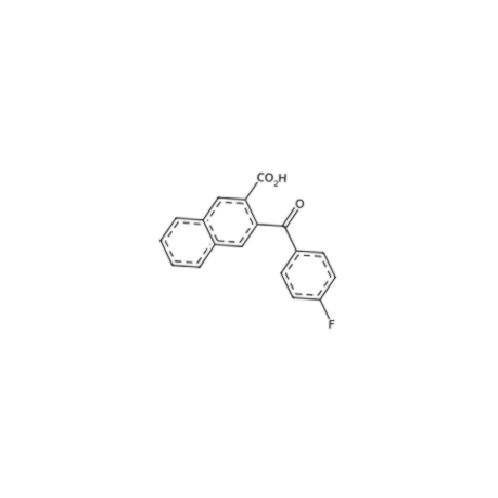 O=C(O)c1cc2ccccc2cc1C(=O)c1ccc(F)cc1